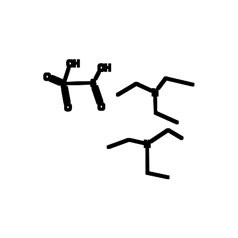 CCN(CC)CC.CCN(CC)CC.O=S(O)S(=O)(=O)O